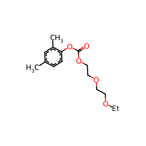 CCOCCOCCOC(=O)Oc1ccc(C)cc1C